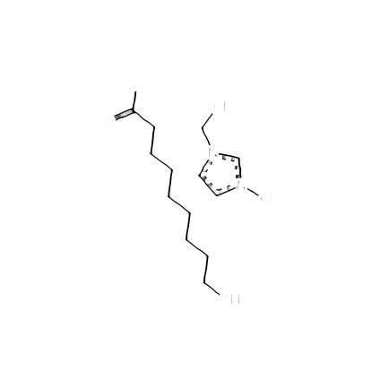 CCCCCCCCCC(=O)[O-].CCn1cc[n+](C)c1